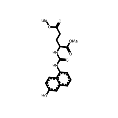 COC(=O)C(CCC(=O)OC(C)(C)C)NC(=O)Nc1cccc2cc(O)ccc12